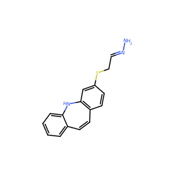 NN=CCSc1ccc2c(c1)Nc1ccccc1C=C2